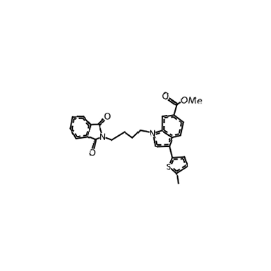 COC(=O)c1ccc2c(-c3ccc(C)s3)cn(CCCCN3C(=O)c4ccccc4C3=O)c2c1